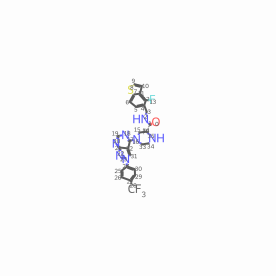 O=C(NCc1ccc2sccc2c1F)[C@H]1CN(c2ncnc3nn(-c4ccc(C(F)(F)F)cc4)cc23)CCN1